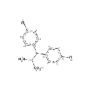 NC(C(=O)O)C(c1ccc(Cl)cc1)c1ccc(Cl)cc1